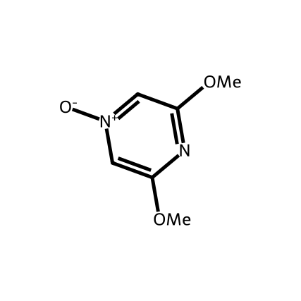 COc1c[n+]([O-])cc(OC)n1